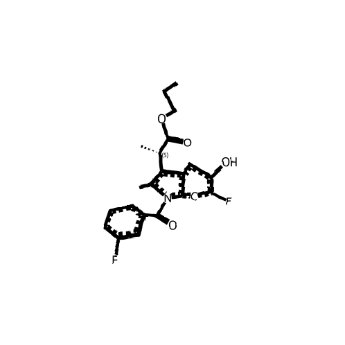 CCCOC(=O)[C@@H](C)c1c(C)n(C(=O)c2cccc(F)c2)c2cc(F)c(O)cc12